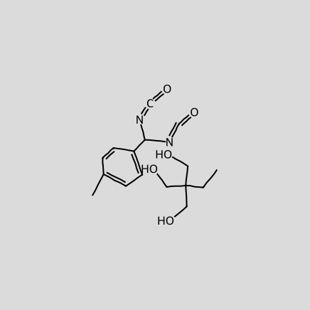 CCC(CO)(CO)CO.Cc1ccc(C(N=C=O)N=C=O)cc1